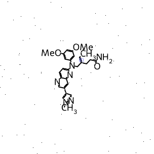 C/C=C(\CCC(N)=O)CN(c1cc(OC)cc(OC)c1)c1ccc2ncc(-c3cnn(C)c3)cc2n1